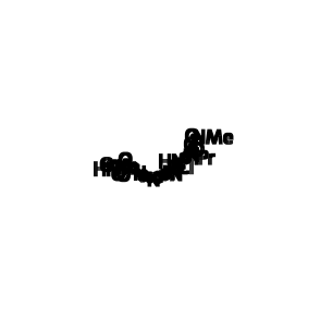 CNC(=O)COc1cc2cc(Nc3nc(N4CCC5(CCN(CC6CCN(c7ccc8c(c7)C(=O)N(C7CCC(=O)NC7=O)C8=O)CC6)CC5)CC4)ncc3Cl)ccc2n(C(C)C)c1=O